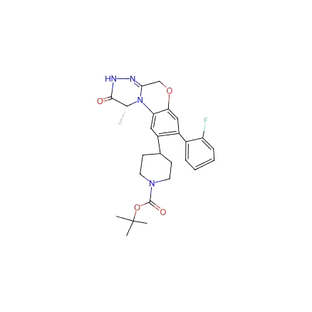 C[C@@H]1C(=O)NN=C2COc3cc(-c4ccccc4F)c(C4CCN(C(=O)OC(C)(C)C)CC4)cc3N21